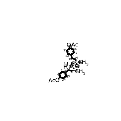 CC(=O)Oc1ccc(CC[Si](C)(C)O[Si](C)(C)CCc2ccc(OC(C)=O)cc2)cc1